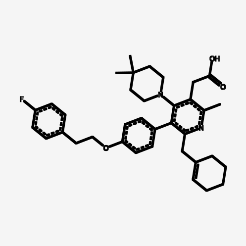 Cc1nc(CC2=CCCCC2)c(-c2ccc(OCCc3ccc(F)cc3)cc2)c(N2CCC(C)(C)CC2)c1CC(=O)O